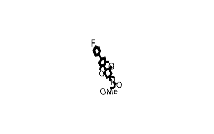 COC(C)C(=O)N1CC2(CC(=O)C(c3c(C)cc(-c4ccc(F)cc4)cc3C)C(=O)C2)C1